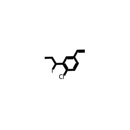 C=Cc1ccc(Cl)c(C(I)CC)c1